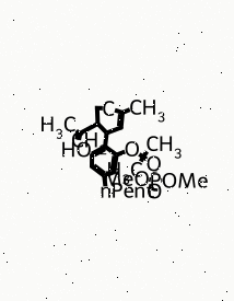 C=C(C)C1CCC(C)=CC1c1c(O)cc(CCCCC)cc1OC(C)(C)OP(=O)(OC)OC